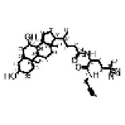 C#CCNC(=O)C(CCC1(C)N=N1)NC(=O)CCC(C)C1CCC2C3C(O)CC4CC(O)CCC4(C)C3CCC12C